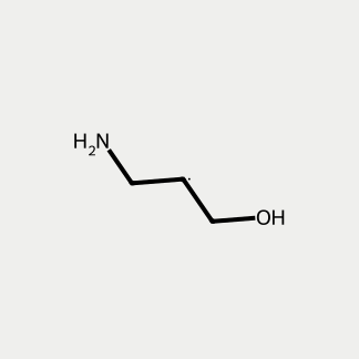 NC[CH]CO